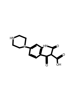 O=C(O)C1C(=O)Nc2cc(N3CCNCC3)ccc2C1=O